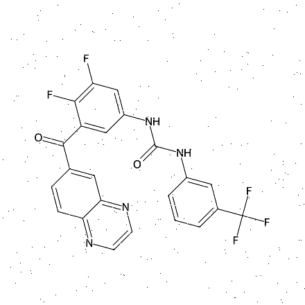 O=C(Nc1cccc(C(F)(F)F)c1)Nc1cc(F)c(F)c(C(=O)c2ccc3nccnc3c2)c1